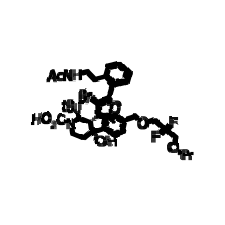 CC(=O)NCCc1ccccc1-c1onc([C@H]2C(C(C)(C)C)N(C(=O)O)CC[C@]2(O)c2ccc(COCC(F)(F)COC(C)C)cc2)c1Br